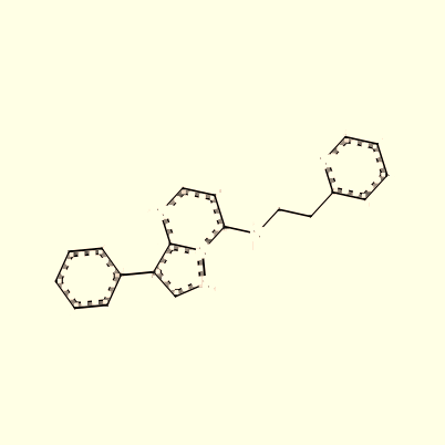 c1ccc(-c2cnn3c(NCCc4ccccn4)ccnc23)cc1